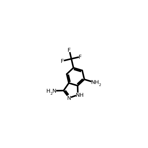 Nc1n[nH]c2c(N)cc(C(F)(F)F)cc12